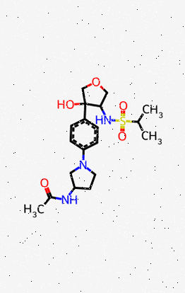 CC(=O)NC1CCN(c2ccc(C3(O)COCC3NS(=O)(=O)C(C)C)cc2)C1